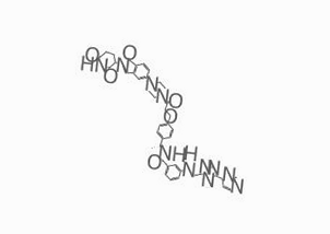 C[C@@H](NC(=O)c1cccc(NCc2nnc(-c3ccncn3)n2C)c1)c1ccc(OCC(=O)N2CCN(c3ccc4c(c3)CN(C3CCC(=O)NC3=O)C4=O)CC2)cc1